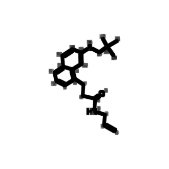 C=CCNC(=O)CCc1cccc2ccc(SCC(C)(C)C)cc12